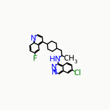 CC(CC1CCC(c2ccnc3ccc(F)cc23)CC1)Nc1nncc2cc(Cl)ccc12